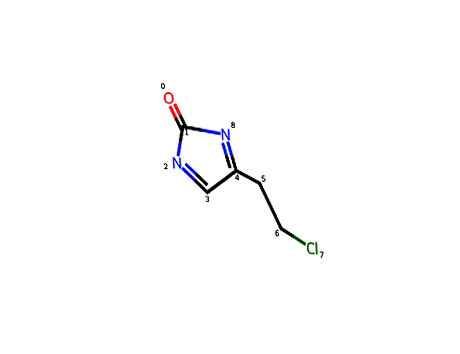 O=C1N=CC(CCCl)=N1